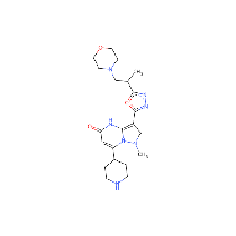 CC(CN1CCOCC1)c1nnc(C2=C3NC(=O)C=C(C4CCNCC4)N3N(C)C2)o1